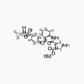 CC(C)(C)OC(=O)N1C[C@H](F)C[C@H]1C(=O)Nc1cccc(-c2cc(S(=O)(=O)NC3CC3)ccc2Cl)c1F